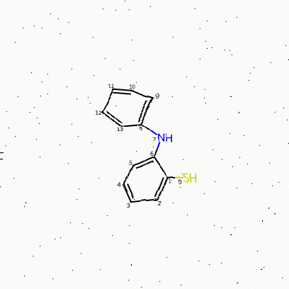 Sc1ccccc1Nc1ccccc1